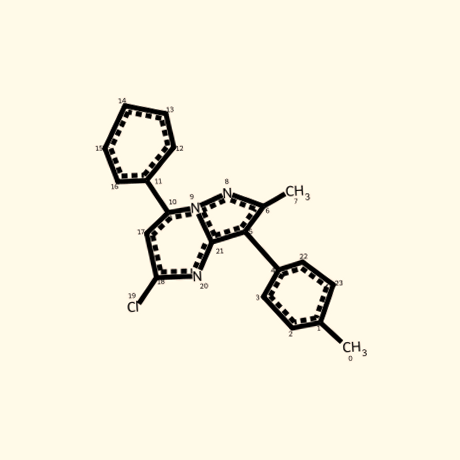 Cc1ccc(-c2c(C)nn3c(-c4ccccc4)cc(Cl)nc23)cc1